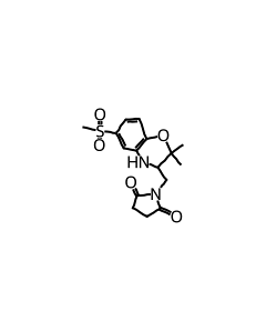 CC1(C)Oc2ccc(S(C)(=O)=O)cc2NC1CN1C(=O)CCC1=O